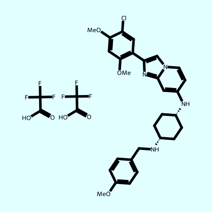 COc1ccc(CN[C@H]2CC[C@@H](Nc3ccn4cc(-c5cc(Cl)c(OC)cc5OC)nc4c3)CC2)cc1.O=C(O)C(F)(F)F.O=C(O)C(F)(F)F